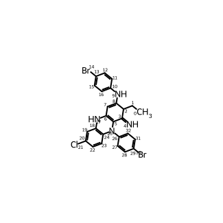 CCC1C(=N)C2=C(C=C1Nc1ccc(Br)cc1)Nc1cc(Cl)ccc1N2c1ccc(Br)cc1